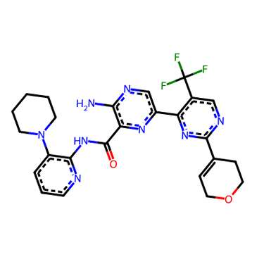 Nc1ncc(-c2nc(C3=CCOCC3)ncc2C(F)(F)F)nc1C(=O)Nc1ncccc1N1CCCCC1